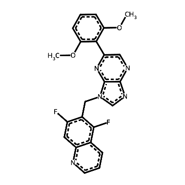 COc1cccc(OC)c1-c1cnc2ncn(Cc3c(F)cc4ncccc4c3F)c2n1